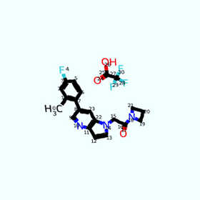 Cc1cc(F)ccc1-c1cnc2ccn(CC(=O)N3CCC3)c2c1.O=C(O)C(F)(F)F